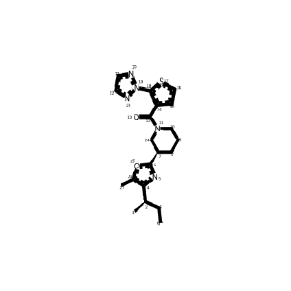 CC[C@@H](C)c1nc([C@@H]2CCCN(C(=O)c3ccsc3-n3nccn3)C2)oc1C